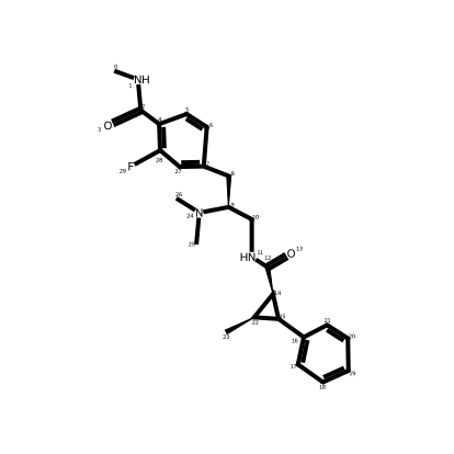 CNC(=O)c1ccc(C[C@@H](CNC(=O)[C@H]2C(c3ccccc3)[C@H]2C)N(C)C)cc1F